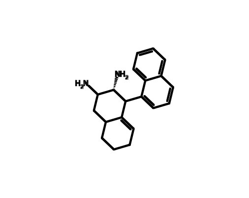 NC1CC2CCCC=C2C(c2cccc3ccccc23)[C@H]1N